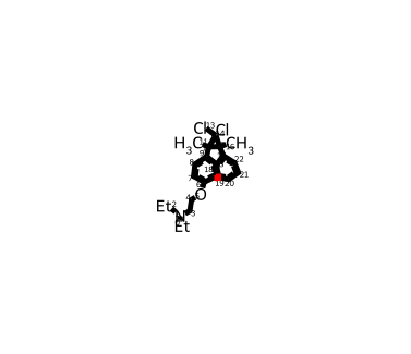 CCN(CC)CCOc1ccc(C2(C)C(Cl)(Cl)C2(C)c2ccccc2)cc1